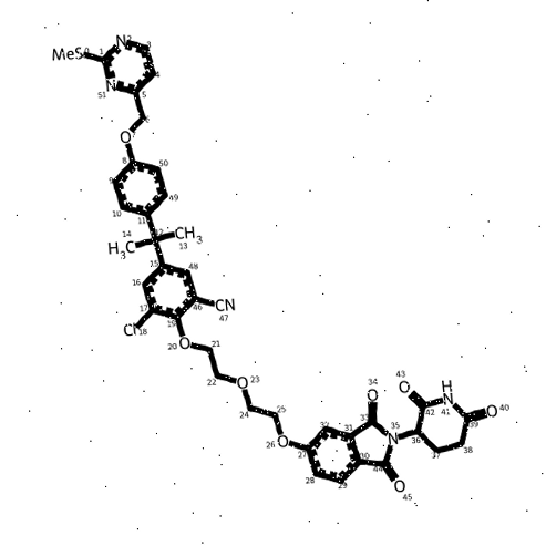 CSc1nccc(COc2ccc(C(C)(C)c3cc(Cl)c(OCCOCCOc4ccc5c(c4)C(=O)N(C4CCC(=O)NC4=O)C5=O)c(C#N)c3)cc2)n1